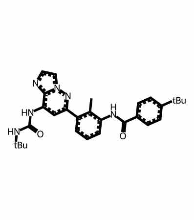 Cc1c(NC(=O)c2ccc(C(C)(C)C)cc2)cccc1-c1cc(NC(=O)NC(C)(C)C)c2nccn2n1